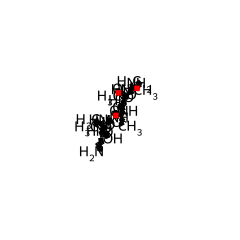 CC[C@H](C)[C@H](N)C(=O)N[C@H](C(=O)NCC(=O)N[C@@H](CC(C)C)C(=O)NCC(=O)N[C@H](C(=O)N[C@@H](CCCCN)C(=O)O)C(C)C)[C@@H](C)O